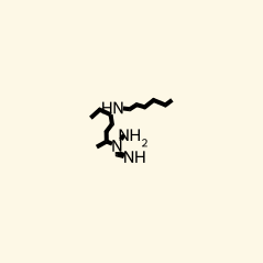 CCCCCCNC(CC)CCC(C)N(N)C=N